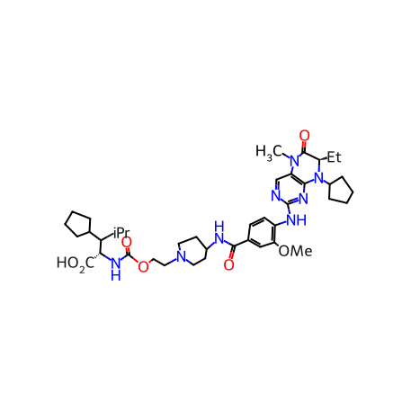 CC[C@@H]1C(=O)N(C)c2cnc(Nc3ccc(C(=O)NC4CCN(CCOC(=O)N[C@H](C(=O)O)C(C(C)C)C5CCCC5)CC4)cc3OC)nc2N1C1CCCC1